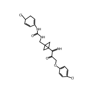 N=C(C(=O)COc1ccc(Cl)cc1)C12CC1(CNC(=O)NC1=CCC(Cl)C=C1)C2